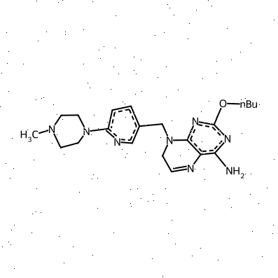 CCCCOc1nc(N)c2c(n1)N(Cc1ccc(N3CCN(C)CC3)nc1)CC=N2